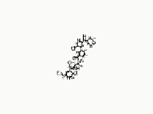 CCN(C)c1cc([C@@H](CO)NC[C@@H](C)N2Cc3ccc(-c4nc(NC5CCOCC5)ncc4Cl)cc3C2=O)c(Cl)cn1